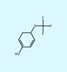 OC1=CCC(OC(F)(F)F)C=C1